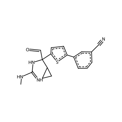 CNC(=N)NC(C=O)(c1ccc(-c2cccc(C#N)c2)s1)C1CC1